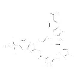 CCn1nc(C)cc1C(=O)Nc1nc2cc(C(N)=O)ccc2n1CC=CCn1c(NC(=O)c2cc(C)nn2CC)nc2cc(S(N)(=O)=O)ccc21